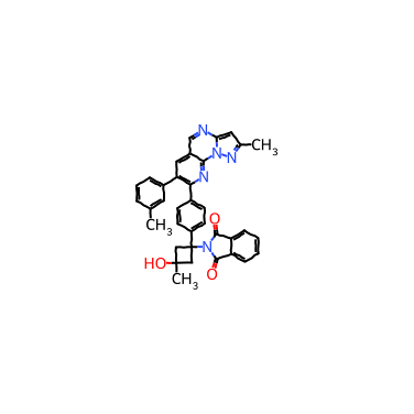 Cc1cccc(-c2cc3cnc4cc(C)nn4c3nc2-c2ccc(C3(N4C(=O)c5ccccc5C4=O)CC(C)(O)C3)cc2)c1